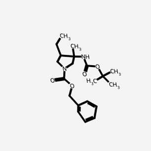 CCC1CN(C(=O)OCc2ccccc2)CC1(C)NC(=O)OC(C)(C)C